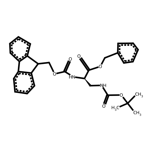 CC(C)(C)OC(=O)NC[C@@H](NC(=O)OCC1c2ccccc2-c2ccccc21)C(=O)OCc1ccccc1